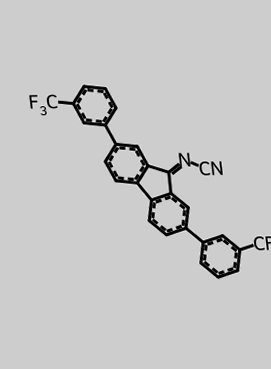 N#CN=C1c2cc(-c3cccc(C(F)(F)F)c3)ccc2-c2ccc(-c3cccc(C(F)(F)F)c3)cc21